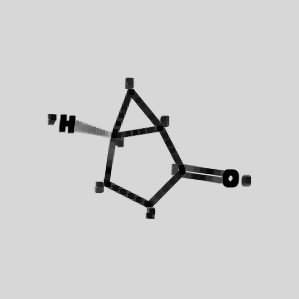 O=C1CC[C@H]2CC12